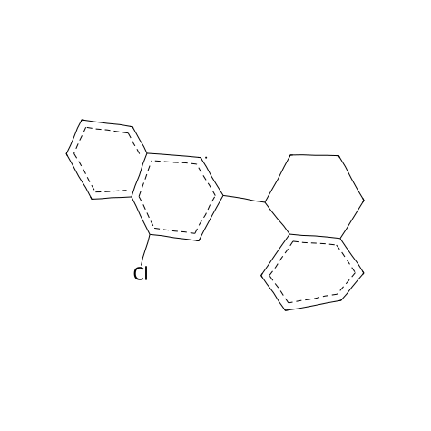 Clc1cc(C2CCCc3ccccc32)[c]c2ccccc12